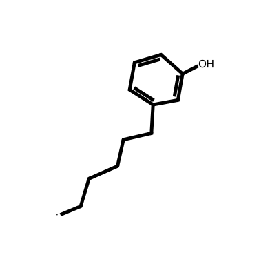 [CH2]CCCCCc1cccc(O)c1